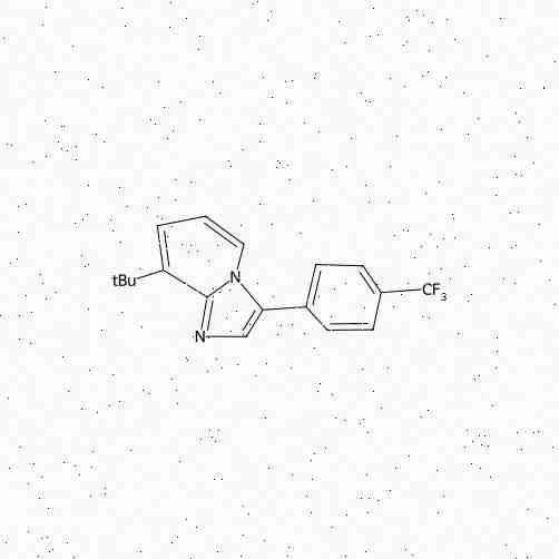 CC(C)(C)c1cccn2c(-c3ccc(C(F)(F)F)cc3)cnc12